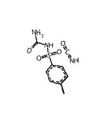 Cc1ccc(S(=O)(=O)NC(N)=O)cc1.N=C=O